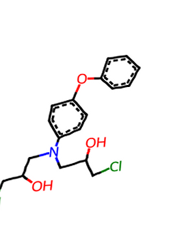 OC(CCl)CN(CC(O)CCl)c1ccc(Oc2ccccc2)cc1